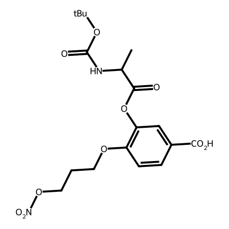 CC(NC(=O)OC(C)(C)C)C(=O)Oc1cc(C(=O)O)ccc1OCCCO[N+](=O)[O-]